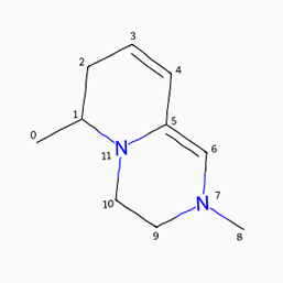 CC1CC=CC2=CN(C)CCN21